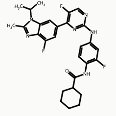 Cc1nc2c(F)cc(-c3nc(Nc4ccc(NC(=O)C5CCCCC5)c(F)c4)ncc3F)cc2n1C(C)C